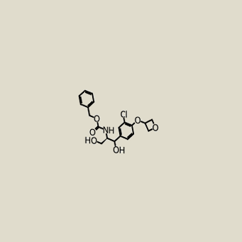 O=C(N[C@H](CO)C(O)c1ccc(OC2COC2)c(Cl)c1)OCc1ccccc1